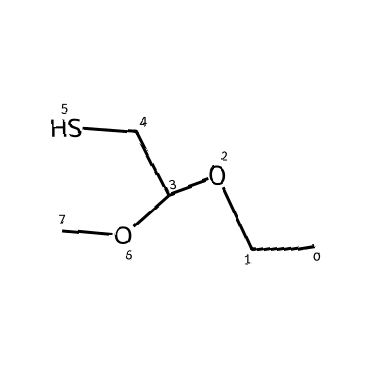 CCOC(CS)OC